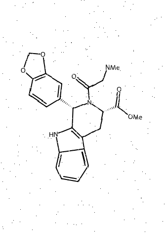 CNCC(=O)N1[C@@H](c2ccc3c(c2)OCO3)c2[nH]c3ccccc3c2C[C@H]1C(=O)OC